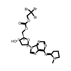 CN1CCCC1=Nc1ncnc2c1ncn2[C@H]1C[C@H](O)[C@@H](COC(=O)OCC(Br)(Br)Br)O1